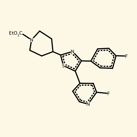 CCOC(=O)N1CCC(c2nc(-c3ccc(F)cc3)c(-c3ccnc(F)c3)s2)CC1